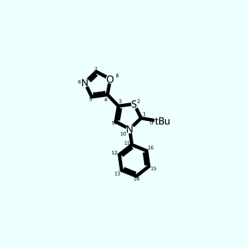 CC(C)(C)C1SC(c2cnco2)=[C]N1c1ccccc1